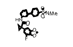 CNS(=O)(=O)c1ccc(-c2cccc(NC(=O)C3(c4cc(F)c5c(c4)OCO5)CC3)c2)cc1